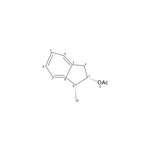 CC(=O)O[C@H]1Cc2ccccc2[C@H]1C